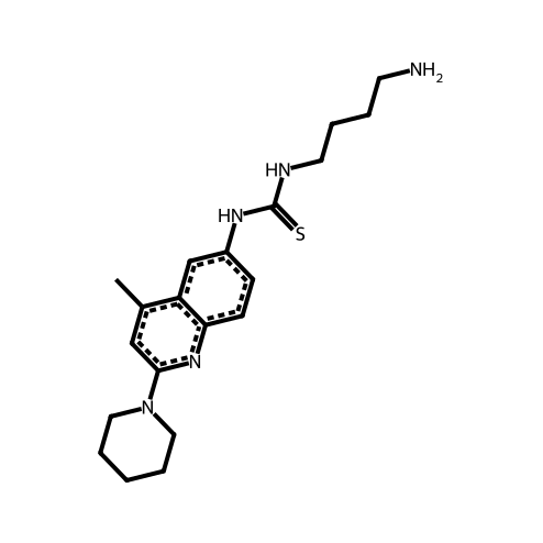 Cc1cc(N2CCCCC2)nc2ccc(NC(=S)NCCCCN)cc12